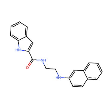 O=C(NCCNc1ccc2ccccc2c1)c1cc2ccccc2[nH]1